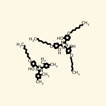 CCCCCCCCOc1ccc(-c2nc(-c3ccc(C)cc3C)nc(-c3ccc(C)cc3C)n2)c(O)c1.CCCCCCCCOc1ccc(-c2nc(-c3ccc(OCCCCCCCC)cc3O)nc(-c3ccc(OCCCCCCCC)cc3O)n2)c(O)c1